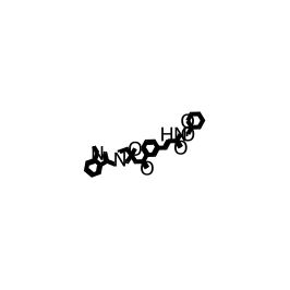 Cn1cc(CN2CCC3(CC(=O)c4cc(/C=C/C(=O)NOC5CCCCO5)ccc4O3)C2)c2ccccc21